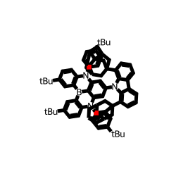 CC(C)(C)c1ccc(N2c3ccc(C(C)(C)C)cc3B3c4cc(C(C)(C)C)ccc4N(c4ccc(C(C)(C)C)cc4)c4cc(-n5c6c(C78CC9CC(CC(C9)C7)C8)cccc6c6cccc(C78CC9CC%10CC(C7)C%10(C9)C8)c65)cc2c43)cc1